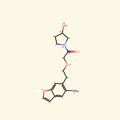 COc1cc2ccoc2cc1CCOCC(=O)N1CCC(O)C1